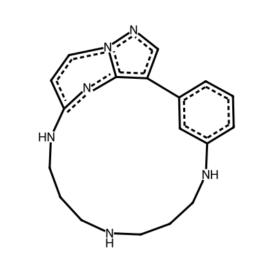 c1cc2cc(c1)-c1cnn3ccc(nc13)NCCCNCCCN2